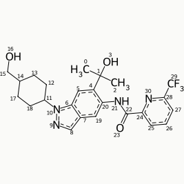 CC(C)(O)c1cc2c(cnn2C2CCC(CO)CC2)cc1NC(=O)c1cccc(C(F)(F)F)n1